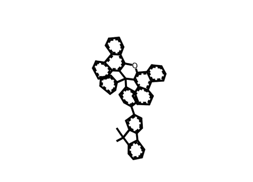 CC1(C)c2ccccc2-c2ccc(-c3ccc(C4(c5ccccc5)c5c(c6ccccc6c6ccccc56)Oc5c4c4ccccc4c4ccccc54)cc3)cc21